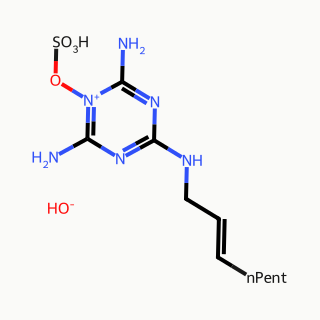 CCCCCC=CCNc1nc(N)[n+](OS(=O)(=O)O)c(N)n1.[OH-]